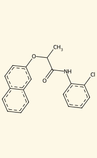 CC(Oc1ccc2ccccc2c1)C(=O)Nc1ccccc1Cl